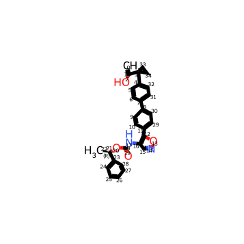 C=C(O)C1(c2ccc(-c3ccc(-c4oncc4NC(=O)O[C@H](C)c4ccccc4)cc3)cc2)CC1